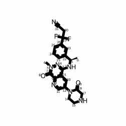 C[C@@H](Nc1nn(C)c(=O)c2ncc(N3CCNCC3=O)cc12)c1cccc(C(F)(F)CC#N)c1